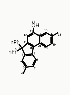 CCCC1(CCC)c2cc(C)ccc2-c2c1cc(O)c1cc(C)ccc21